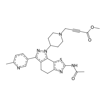 COC(=O)C#CCN1CCC(n2nc(-c3ccc(C)nc3)c3c2-c2sc(NC(C)=O)nc2CC3)CC1